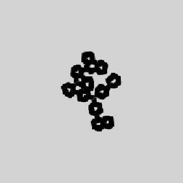 c1ccc(-c2ccc(N(c3ccc(-c4ccccc4-n4c5ccccc5c5c(-c6cc7ccccc7c7ccccc67)cccc54)cc3)c3ccc(-c4cccc5ccccc45)cc3)cc2)cc1